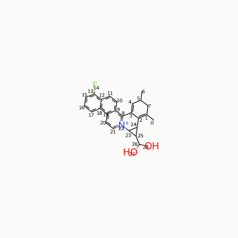 CC1=C2C(=CC(C)C1)c1c3ccc4c(F)cccc4c3cc[n+]1C1C2C1C(O)O